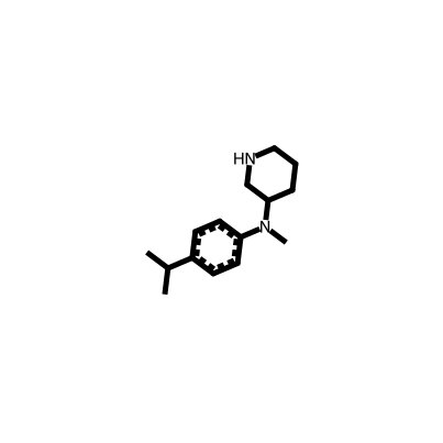 CC(C)c1ccc(N(C)C2CCCNC2)cc1